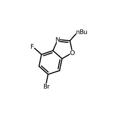 CCCCc1nc2c(F)cc(Br)cc2o1